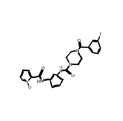 O=C(Nc1cccc(NC(=O)N2CCN(C(=O)c3cccc(F)c3)CC2)c1)c1cccc[n+]1[O-]